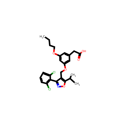 CCCCOc1cc(CC(=O)O)cc(OCc2c(-c3c(Cl)cccc3Cl)noc2C(C)C)c1